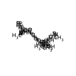 Cc1ncsc1-c1ccc(CNC(=O)C2CC(O)CN2C(=O)[C@@H](NC(=O)COCCOCCOCCNC(=O)c2ccc3c(c2)c2cn(C)nc2n3-c2ccc(C(F)(F)F)cc2)C(C)(C)C)cc1